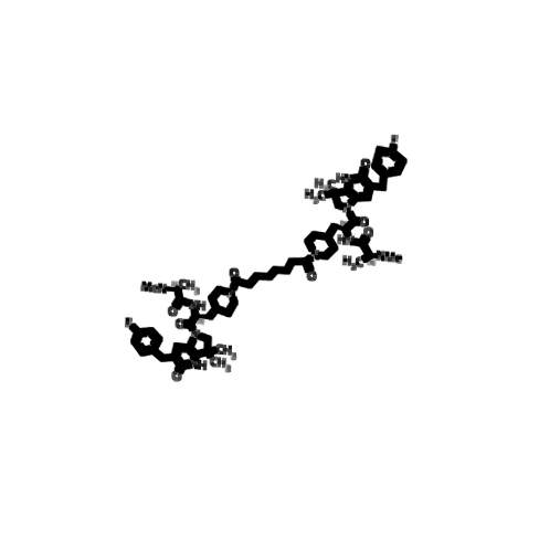 CN[C@@H](C)C(=O)N[C@@H](CC1CCN(C(=O)CCCCCCC(=O)N2CCC(C[C@H](NC(=O)[C@H](C)NC)C(=O)N3CC(C)(C)c4[nH]c(=O)c(Cc5ccc(F)cc5)cc43)CC2)CC1)C(=O)N1CC(C)(C)c2[nH]c(=O)c(Cc3ccc(F)cc3)cc21